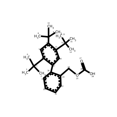 CC(C)(C)c1cc(C(C)(C)C)c(C(C)(C)C)cc1-c1ccccc1COC(=O)O